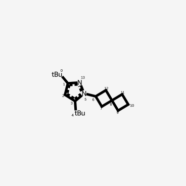 CC(C)(C)c1cc(C(C)(C)C)n(C2CC3(CCC3)C2)n1